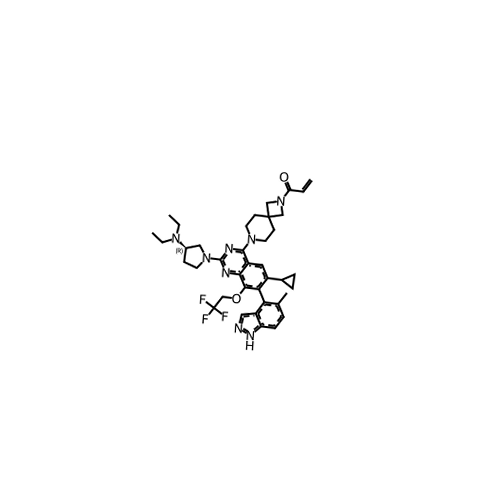 C=CC(=O)N1CC2(CCN(c3nc(N4CC[C@@H](N(CC)CC)C4)nc4c(OCC(F)(F)F)c(-c5c(C)ccc6[nH]ncc56)c(C5CC5)cc34)CC2)C1